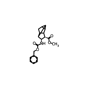 COC(=O)[C@@H]1C2C3CC4C2C4C3[C@@H]1NC(=O)OCc1ccccc1